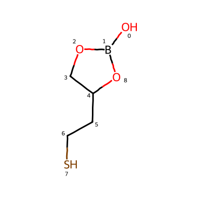 OB1OCC(CCS)O1